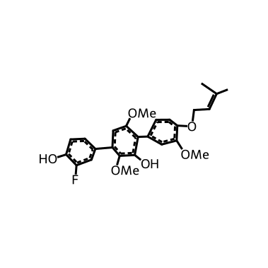 COc1cc(-c2c(OC)cc(-c3ccc(O)c(F)c3)c(OC)c2O)ccc1OCC=C(C)C